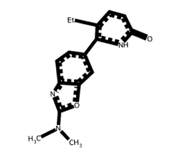 CCc1ccc(=O)[nH]c1-c1ccc2nc(N(C)C)oc2c1